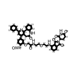 COc1ccc(-c2cc(-c3ccccc3)nc3c2CC(=O)Nc2ccccc2-3)cc1OCC(=O)NCCOCCNc1cccc2c1C(=O)N(C1CCC(=O)NC1=O)C2=O